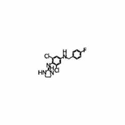 Fc1ccc(CNc2cc(Cl)c(N=C3NCCN3)c(Cl)c2)cc1